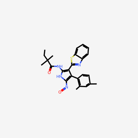 CCC(C)(C)C(=O)Nc1[nH]c(N=O)c(-c2ccc(C)cc2C)c1-c1nc2ccccc2s1